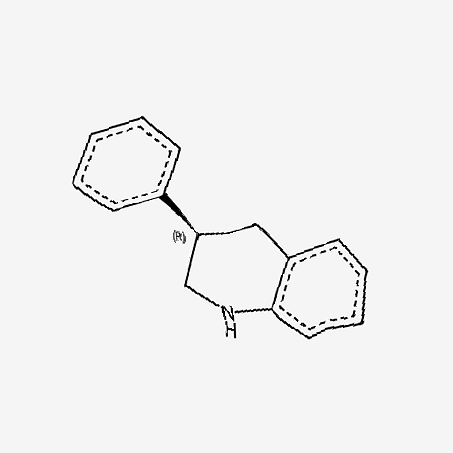 c1ccc([C@@H]2CNc3ccccc3C2)cc1